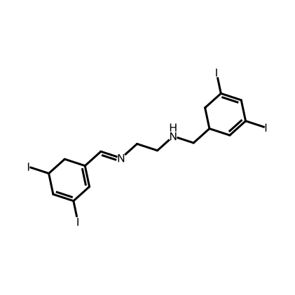 IC1=CC(I)CC(/C=N/CCNCC2C=C(I)C=C(I)C2)=C1